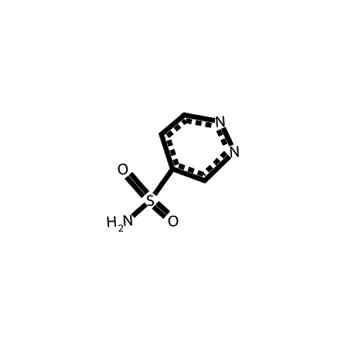 NS(=O)(=O)c1ccnnc1